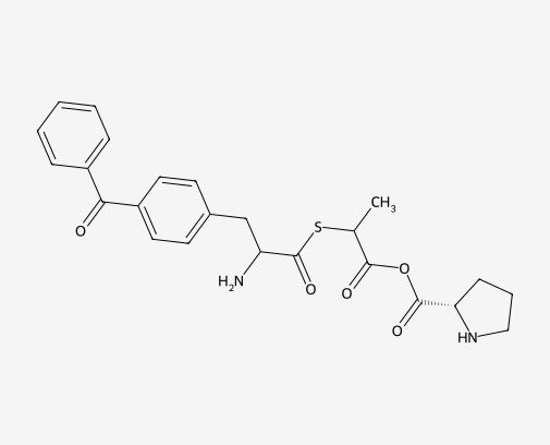 CC(SC(=O)C(N)Cc1ccc(C(=O)c2ccccc2)cc1)C(=O)OC(=O)[C@@H]1CCCN1